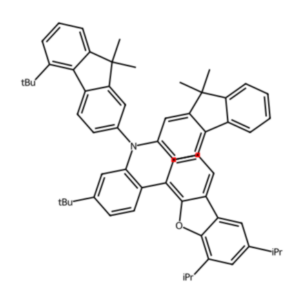 CC(C)c1cc(C(C)C)c2oc3c(-c4ccc(C(C)(C)C)cc4N(c4ccc5c(c4)C(C)(C)c4ccccc4-5)c4ccc5c(c4)C(C)(C)c4cccc(C(C)(C)C)c4-5)cccc3c2c1